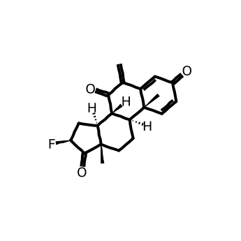 C=C1C(=O)[C@@H]2[C@H](CC[C@]3(C)C(=O)[C@@H](F)C[C@@H]23)[C@@]2(C)C=CC(=O)C=C12